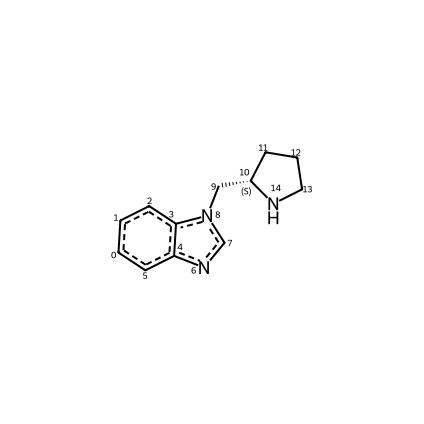 c1ccc2c(c1)ncn2C[C@@H]1CCCN1